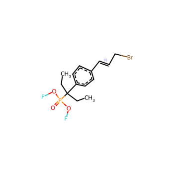 CCC(CC)(c1ccc(/C=C/CBr)cc1)P(=O)(OF)OF